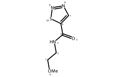 COCCNC(=O)c1cnns1